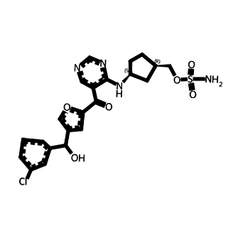 NS(=O)(=O)OC[C@@H]1CC[C@H](Nc2ncncc2C(=O)c2cc(C(O)c3cccc(Cl)c3)co2)C1